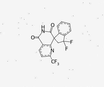 O=C1NC(=O)C2(CC(F)(F)c3ccccc32)c2nc(C(F)(F)F)ccc21